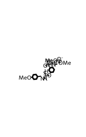 COc1ccc(/C=N/N(C)[PH](=S)Oc2ccc(NC[N+]([O-])(OC)OC)c([NH+]([O-])O)c2)cc1